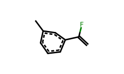 C=C(F)c1cccc(C)c1